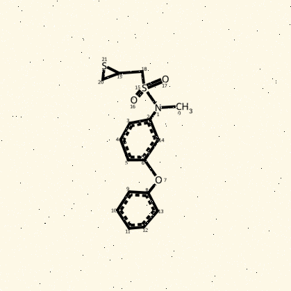 CN(c1cccc(Oc2ccccc2)c1)S(=O)(=O)CC1CS1